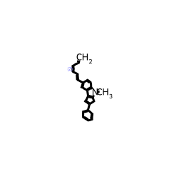 C=C/C=C\C=Cc1ccc2c(c1)c1c(n2C)CC(c2ccccc2)=C1